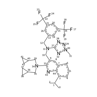 CC(C)c1cccc2cc(CN(Cc3cc(C(F)(F)F)cc(C(F)(F)F)c3)c3nnn(C)n3)c(N(CC3CC3)CC3CC3)nc12